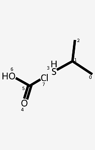 CC(C)S.O=C(O)Cl